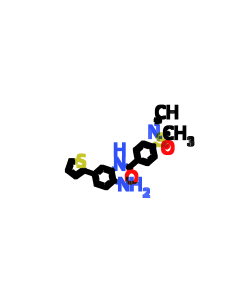 C#CN=S(C)(=O)c1ccc(C(=O)Nc2cc(-c3cccs3)ccc2N)cc1